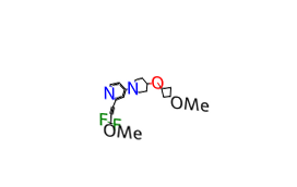 COC1CC(OC2CCN(c3ccnc(C#CC(F)(F)OC)c3)CC2)C1